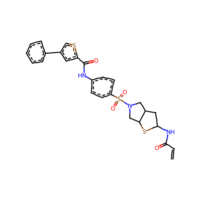 C=CC(=O)NC1CC2CN(S(=O)(=O)c3ccc(NC(=O)c4cc(-c5ccccc5)cs4)cc3)CC2S1